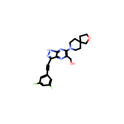 OCc1nc2c(C#Cc3cc(F)cc(F)c3)n[nH]c2nc1N1CCC2(CCOC2)CC1